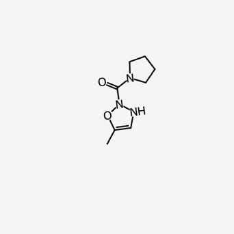 CC1=CNN(C(=O)N2CCCC2)O1